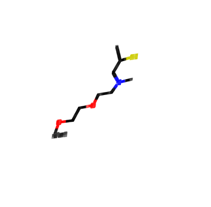 CCCCCOCCOCCN(C)CC(C)S